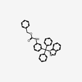 O=C(Nc1cccc(C(c2ccccc2)(c2ccccc2)n2ncc3ccccc32)c1)OCc1ccccc1